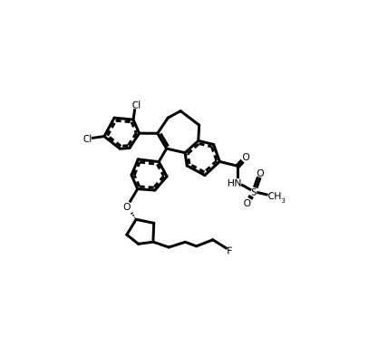 CS(=O)(=O)NC(=O)c1ccc2c(c1)CCCC(c1ccc(Cl)cc1Cl)=C2c1ccc(O[C@H]2CCC(CCCCF)C2)cc1